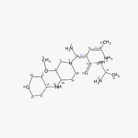 COC1CN(/C(N)=C(/C=C(/C)N)C(=O)NC(C)N)CCC1NC1CCOCC1